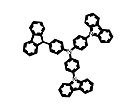 c1ccc2c(c1)-c1ccccc1C2c1ccc(N(c2ccc(-n3c4ccccc4c4ccccc43)cc2)c2ccc(-n3c4ccccc4c4ccccc43)cc2)cc1